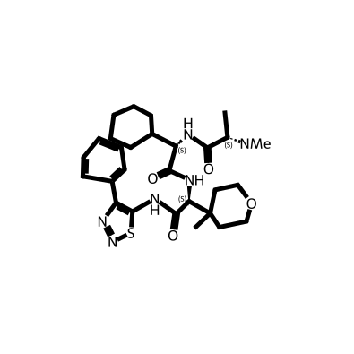 CN[C@@H](C)C(=O)N[C@H](C(=O)N[C@H](C(=O)Nc1snnc1-c1ccccc1)C1(C)CCOCC1)C1CCCCC1